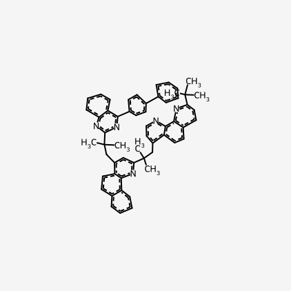 CC(C)(C)c1ccc2ccc3c(CC(C)(C)c4cc(CC(C)(C)c5nc(-c6ccc(-c7ccccc7)cc6)c6ccccc6n5)c5ccc6ccccc6c5n4)ccnc3c2n1